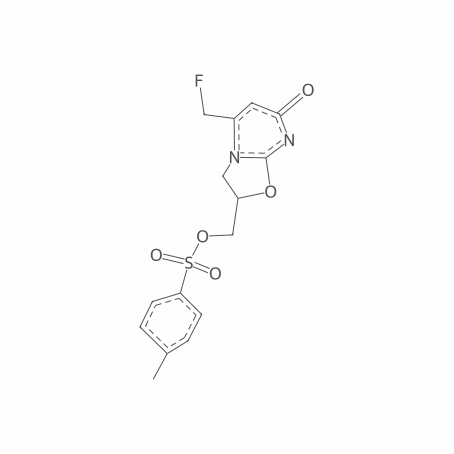 Cc1ccc(S(=O)(=O)OCC2Cn3c(CF)cc(=O)nc3O2)cc1